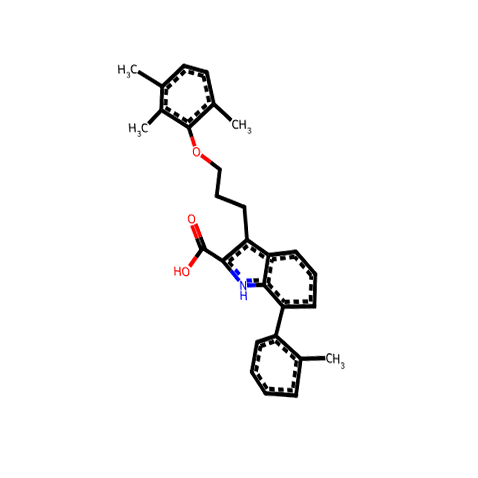 Cc1ccccc1-c1cccc2c(CCCOc3c(C)ccc(C)c3C)c(C(=O)O)[nH]c12